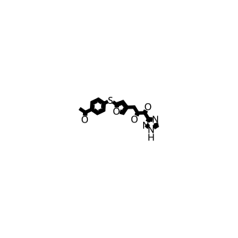 CC(=O)c1ccc(Sc2cc(CC(=O)C(=O)c3nc[nH]n3)co2)cc1